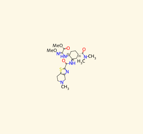 CO/N=C(/N[C@H]1CC[C@H](C(=O)N(C)C)C[C@H]1NC(=O)c1nc2c(s1)CCN(C)C2)C(=O)OC